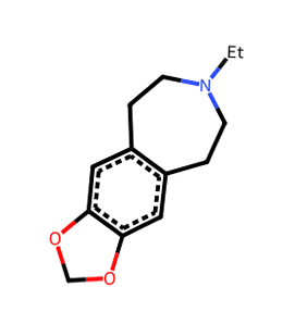 CCN1CCc2cc3c(cc2CC1)OCO3